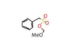 COCOS(=O)(=O)Cc1ccccc1